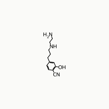 N#Cc1ccc(CCCNCCN)cc1O